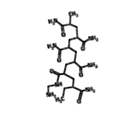 CCC(CC(CC(CC(CC(CC(C)C(N)=O)C(N)=O)C(N)=O)C(N)=O)C(=O)NCN)C(N)=O